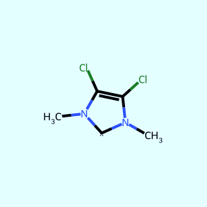 CN1[C]N(C)C(Cl)=C1Cl